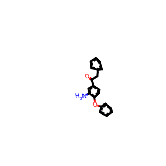 Nc1cc(C(=O)Cc2ccccc2)ccc1Oc1ccccc1